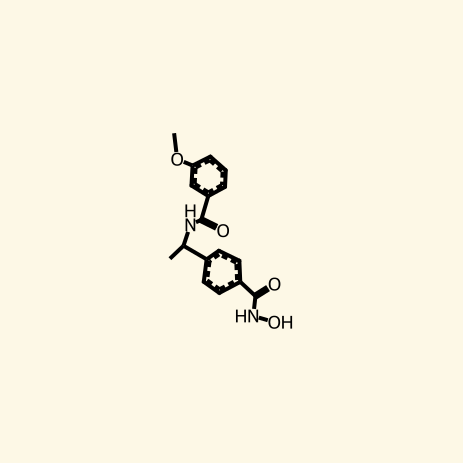 COc1cccc(C(=O)NC(C)c2ccc(C(=O)NO)cc2)c1